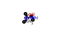 C[C@@H](c1ccccc1)N1CCN([C@@H](C)c2ccccc2)P1CCNc1c(Nc2ccccc2)c(=O)c1=O